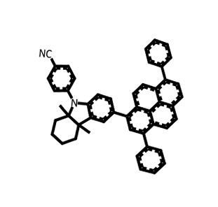 CC12CCCCC1(C)N(c1ccc(C#N)cc1)c1ccc(-c3cc(-c4ccccc4)c4ccc5ccc(-c6ccccc6)c6ccc3c4c56)cc12